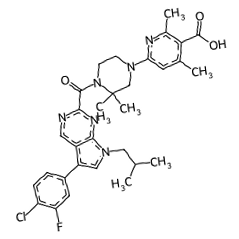 Cc1cc(N2CCN(C(=O)c3ncc4c(-c5ccc(Cl)c(F)c5)cn(CC(C)C)c4n3)C(C)(C)C2)nc(C)c1C(=O)O